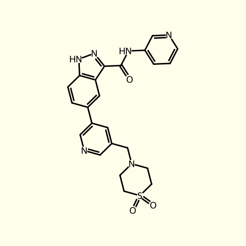 O=C(Nc1cccnc1)c1n[nH]c2ccc(-c3cncc(CN4CCS(=O)(=O)CC4)c3)cc12